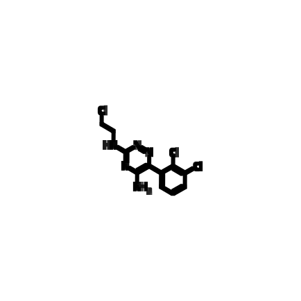 Nc1nc(NCCCl)nnc1-c1cccc(Cl)c1Cl